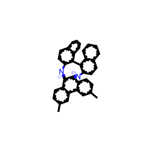 Cc1ccc2c3/c(c4ccc(C)cc4c2c1)=N/c1ccc2ccccc2c1-c1c(ccc2ccccc12)\N=3